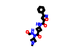 CN1CC(N(NC=O)C(=O)C2CC(NC(=O)c3cc(-c4ccccc4)no3)C2)C1